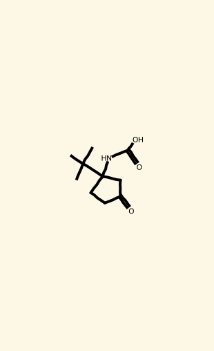 CC(C)(C)C1(NC(=O)O)CCC(=O)C1